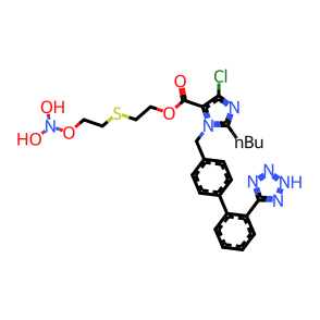 CCCCc1nc(Cl)c(C(=O)OCCSCCON(O)O)n1Cc1ccc(-c2ccccc2-c2nn[nH]n2)cc1